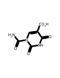 NC(=O)n1cc(C(=O)O)c(=O)[nH]c1=O